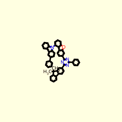 CC1(C)c2ccccc2-c2ccc(-c3nc(-c4ccccc4)nc(-c4ccc5c(c4)oc4cccc(-n6c7ccccc7c7cc(-c8ccccc8)ccc76)c45)n3)cc21